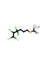 CCC(SCCCC(F)(F)C(F)C(F)F)C(=O)O